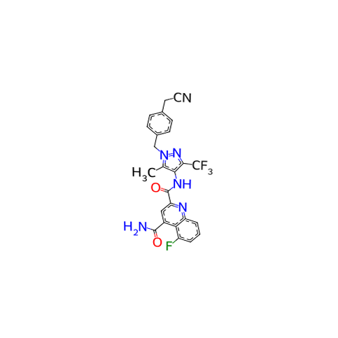 Cc1c(NC(=O)c2cc(C(N)=O)c3c(F)cccc3n2)c(C(F)(F)F)nn1Cc1ccc(CC#N)cc1